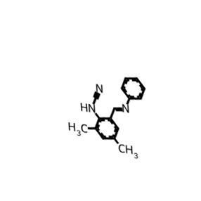 Cc1cc(C)c(NC#N)c(/C=N/c2ccccc2)c1